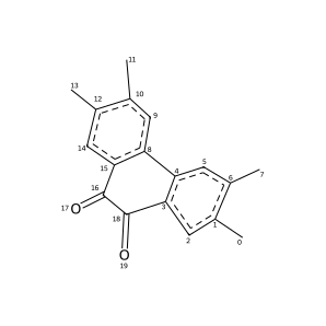 Cc1cc2c(cc1C)-c1cc(C)c(C)cc1C(=O)C2=O